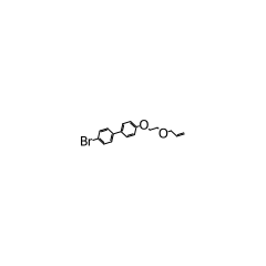 C=CCOCCOc1ccc(-c2ccc(Br)cc2)cc1